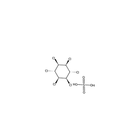 Cl[C@H]1[C@H](Cl)[C@@H](Cl)[C@@H](Cl)[C@H](Cl)[C@H]1Cl.O=S(=O)(O)O